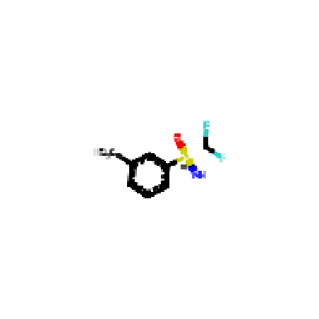 N=[S@@](=O)(c1cccc(C(=O)O)c1)C(F)F